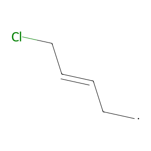 [CH2]CC=CCCl